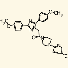 COc1ccc(-c2nc(-c3ccc(OC)cc3)n(CC(=O)N3CCN(c4ccc(Cl)cn4)CC3)n2)cc1